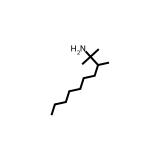 CCCCCCCC(C)C(C)(C)N